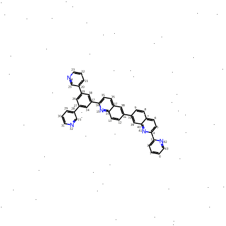 c1ccc(-c2ccc3ccc(-c4ccc5nc(-c6cc(-c7cccnc7)cc(-c7cccnc7)c6)ccc5c4)cc3n2)nc1